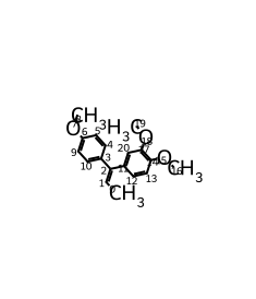 CC=C(c1ccc(OC)cc1)c1ccc(OC)c(OC)c1